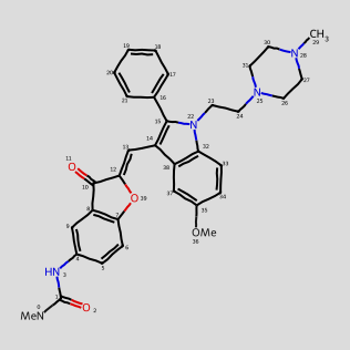 CNC(=O)Nc1ccc2c(c1)C(=O)C(=Cc1c(-c3ccccc3)n(CCN3CCN(C)CC3)c3ccc(OC)cc13)O2